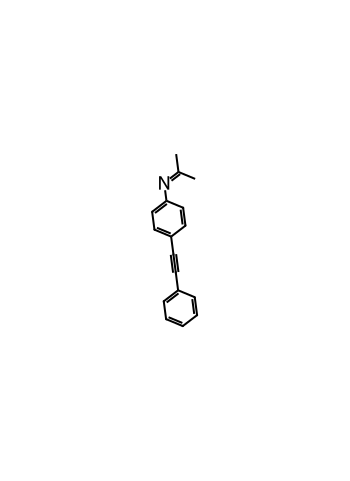 CC(C)=Nc1ccc(C#Cc2ccccc2)cc1